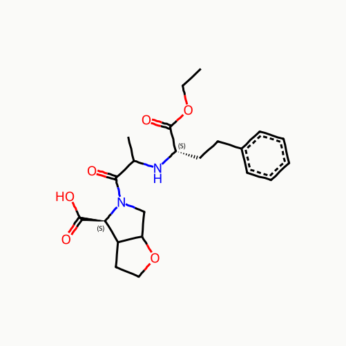 CCOC(=O)[C@H](CCc1ccccc1)NC(C)C(=O)N1CC2OCCC2[C@H]1C(=O)O